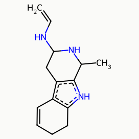 C=CNC1Cc2c([nH]c3c2C=CCC3)C(C)N1